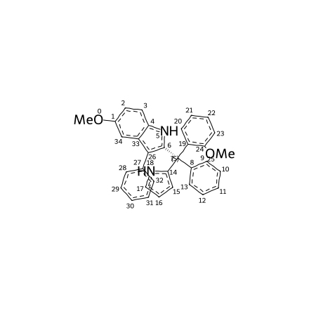 COc1ccc2[nH]c([C@](c3ccccc3)(c3ccc[nH]3)c3ccccc3OC)c(-c3ccccc3)c2c1